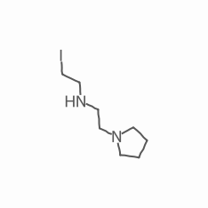 ICCNCCN1CCCC1